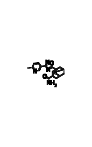 Cc1ccc(-c2noc(C34CC5CC(CC(C(N)=O)(C5)C3)C4)n2)cn1